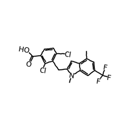 Cc1cc(C(F)(F)F)cc2c1cc(Cc1c(Cl)ccc(C(=O)O)c1Cl)n2C